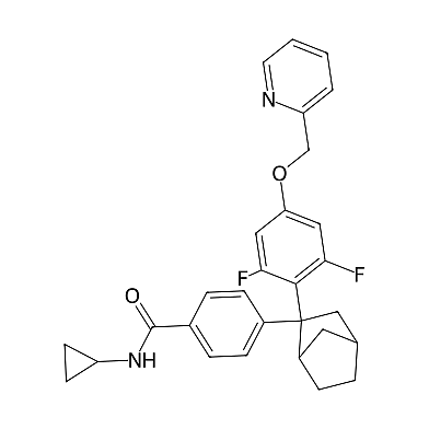 O=C(NC1CC1)c1ccc(C2(c3c(F)cc(OCc4ccccn4)cc3F)CC3CCC2C3)cc1